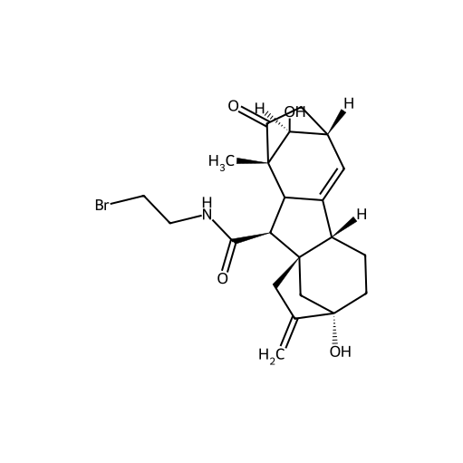 C=C1C[C@]23C[C@@]1(O)CC[C@H]2C1=C[C@H]2CC(=O)[C@@](C)(C1[C@@H]3C(=O)NCCBr)[C@H]2O